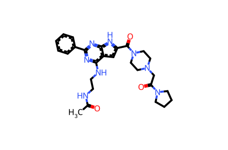 CC(=O)NCCNc1nc(-c2ccccc2)nc2[nH]c(C(=O)N3CCN(CC(=O)N4CCCC4)CC3)cc12